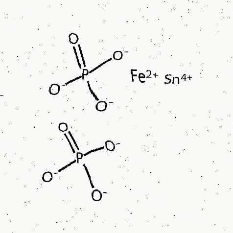 O=P([O-])([O-])[O-].O=P([O-])([O-])[O-].[Fe+2].[Sn+4]